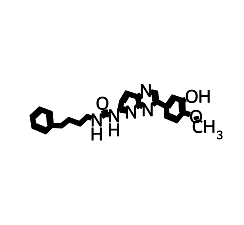 COc1ccc(-c2cnc3ccc(NC(=O)NCCCCc4ccccc4)nc3n2)cc1O